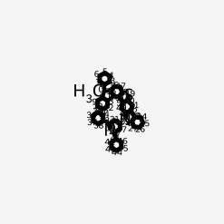 CC1(c2ccccc2)c2ccccc2-c2c1ccc1sc3cc4c5ccccc5n(-c5cc(-c6ccccc6)nc(-c6ccccc6)c5)c4cc3c21